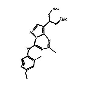 COCC(COC)c1cnn2c(Nc3ccc(C)cc3C)nc(C)nc12